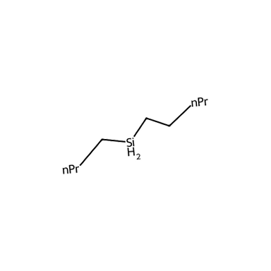 CCCCC[SiH2]CCCC